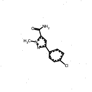 Cn1nc(-c2ccc(Cl)cc2)cc1C(N)=O